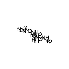 CN1CCC(N(C)C(=O)c2ccc(Nc3ncc(C(F)(F)F)c(N[C@@H]4CCC[C@@H]4C(=O)NCCCN4CCCC4)n3)cc2)CC1